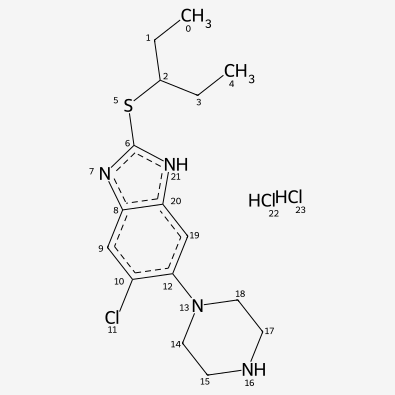 CCC(CC)Sc1nc2cc(Cl)c(N3CCNCC3)cc2[nH]1.Cl.Cl